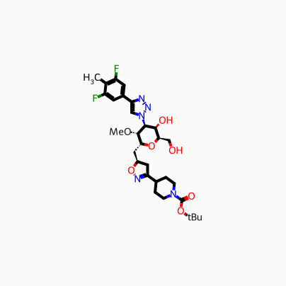 CO[C@@H]1[C@@H](n2cc(-c3cc(F)c(C)c(F)c3)nn2)[C@@H](O)[C@@H](CO)O[C@@H]1C[C@H]1CC(C2CCN(C(=O)OC(C)(C)C)CC2)=NO1